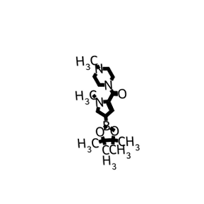 CN1CCN(C(=O)C2=CC(B3OC(C)(C)C(C)(C)O3)CN2C)CC1